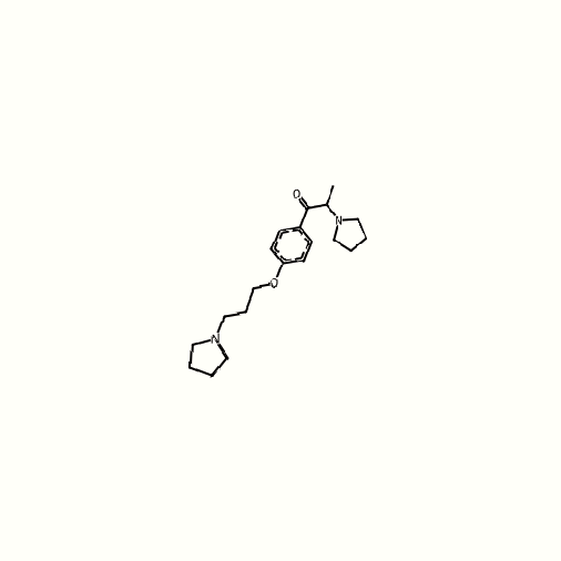 CC(C(=O)c1ccc(OCCCN2CCCC2)cc1)N1CCCC1